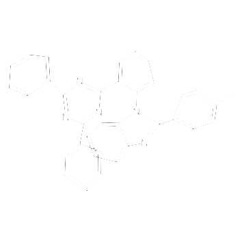 Fc1ccc(-c2nc3ccccc3n2-c2ccccc2-c2nc(-c3ccccc3)nc(-c3ccccc3)n2)cc1